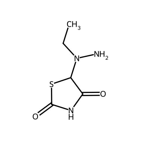 CCN(N)C1SC(=O)NC1=O